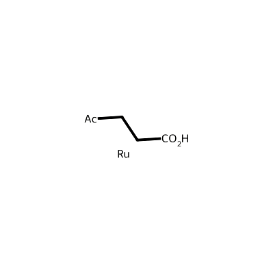 CC(=O)CCC(=O)O.[Ru]